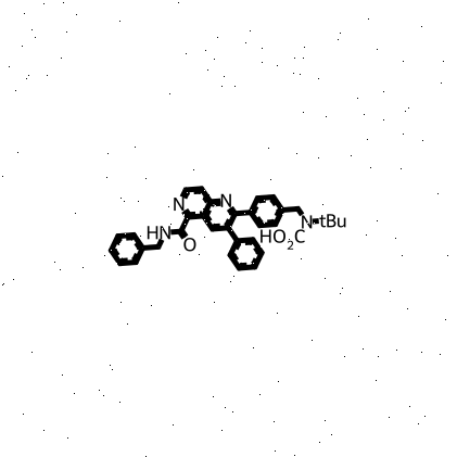 CC(C)(C)N(Cc1ccc(-c2nc3ccnc(C(=O)NCc4ccccc4)c3cc2-c2ccccc2)cc1)C(=O)O